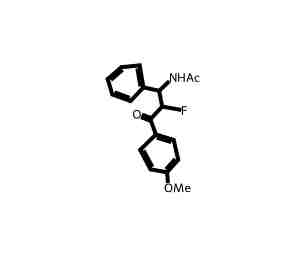 COc1ccc(C(=O)C(F)C(NC(C)=O)c2ccccc2)cc1